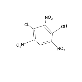 O=[N+]([O-])c1cc([N+](=O)[O-])c(Cl)c([N+](=O)[O-])c1O